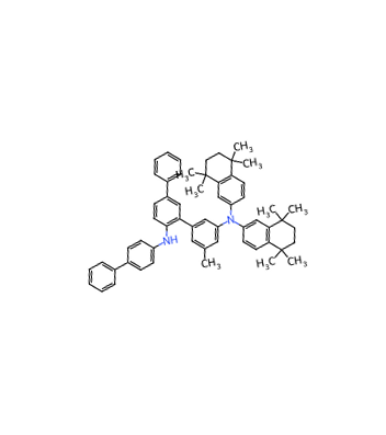 Cc1cc(-c2cc(-c3ccccc3)ccc2Nc2ccc(-c3ccccc3)cc2)cc(N(c2ccc3c(c2)C(C)(C)CCC3(C)C)c2ccc3c(c2)C(C)(C)CCC3(C)C)c1